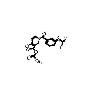 O=C(O)Oc1noc2c1CN(C(=O)c1cccc(SC(F)F)c1)CC2